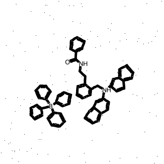 O=C(NCCc1ccccc1C[NH+](c1ccc2ccccc2c1)c1ccc2ccccc2c1)c1ccccc1.c1ccc([B-](c2ccccc2)(c2ccccc2)c2ccccc2)cc1